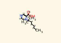 CCCCCC(C)(C)N1CC=NC=C1C(=O)O